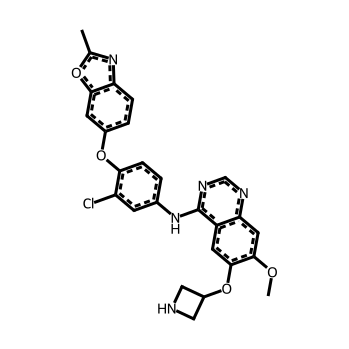 COc1cc2ncnc(Nc3ccc(Oc4ccc5nc(C)oc5c4)c(Cl)c3)c2cc1OC1CNC1